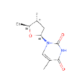 CC[C@@H]1O[C@H](n2cc(C)c(=O)[nH]c2=O)C[C@H]1C